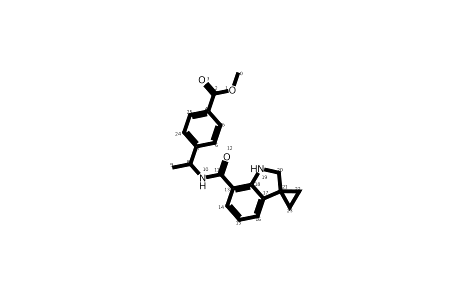 COC(=O)c1ccc(C(C)NC(=O)c2cccc3c2NCC32CC2)cc1